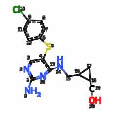 Nc1ncc(Sc2ccc(Cl)cc2)c(NCC2CC2CO)n1